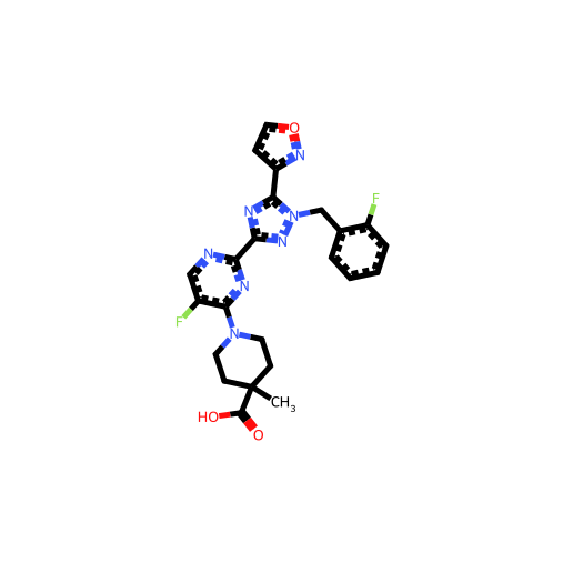 CC1(C(=O)O)CCN(c2nc(-c3nc(-c4ccon4)n(Cc4ccccc4F)n3)ncc2F)CC1